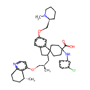 C[C@@H](COc1ccnc2c1[C@H](C)CCC2)CC1Cc2ccc(OC[C@@H]3CCCCN3C)cc2C12CCC(Nc1cccc(Cl)c1)(C(=O)O)CC2